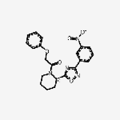 O=C(COc1ccccc1)N1CCCC[C@@H]1c1nc(-c2cccc([N+](=O)[O-])c2)no1